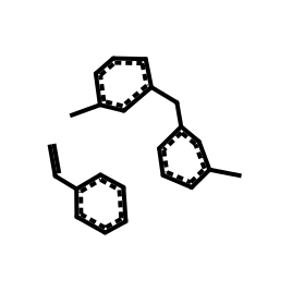 C=Cc1ccccc1.Cc1cccc(Cc2cccc(C)c2)c1